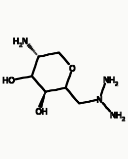 N[C@@H]1COC(CN(N)N)[C@@H](O)C1O